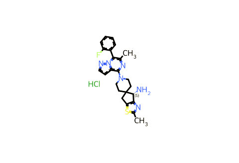 Cc1nc2c(s1)CC1(CCN(c3nc(C)c(-c4ccccc4F)n4nccc34)CC1)[C@@H]2N.Cl